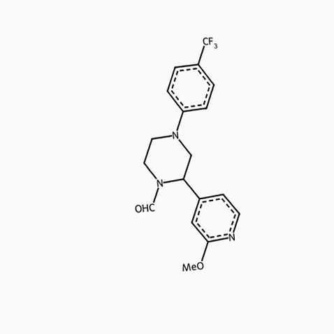 COc1cc(C2CN(c3ccc(C(F)(F)F)cc3)CCN2C=O)ccn1